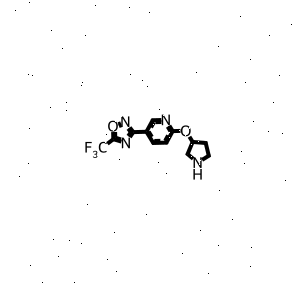 FC(F)(F)c1nc(-c2ccc(OC3CCNC3)nc2)no1